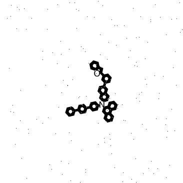 c1ccc(-c2ccc(-c3ccc(N(c4ccc5cc(-c6cccc(-c7cc8ccccc8o7)c6)ccc5c4)c4cc5ccccc5c5ccccc45)cc3)cc2)cc1